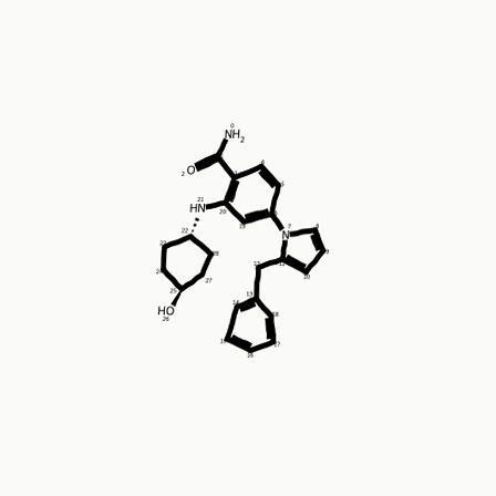 NC(=O)c1ccc(-n2cccc2Cc2ccccc2)cc1N[C@H]1CC[C@H](O)CC1